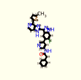 Cc1ccc(-c2nccc3[nH]c(-c4n[nH]c5cc(F)c(-c6cncc(NC(=O)Cc7ccccc7)c6)cc45)nc23)s1